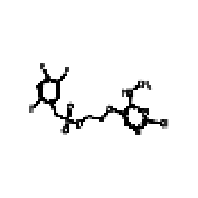 CNc1nc(Cl)ncc1OCCOS(=O)(=O)Cc1cc(F)c(F)cc1F